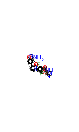 Nc1noc2ccc(-c3cccn(-c4cc(F)c(S(=O)(=O)Nc5ncns5)cc4F)c3=O)cc12